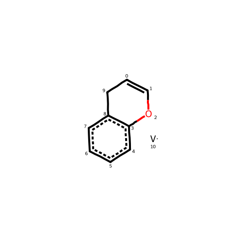 C1=COc2ccccc2C1.[V]